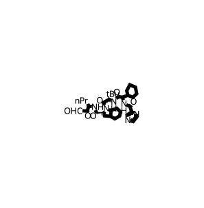 CCCC(NC(=O)[C@@H]1CC2CCCCC2N1C(=O)[C@@H](NC(=O)C(NC(=O)c1cnccn1)C1CCCCC1)C(C)(C)C)C(=O)C=O